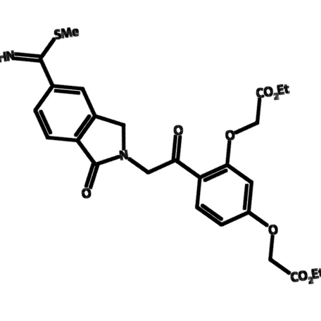 CCOC(=O)COc1ccc(C(=O)CN2Cc3cc(C(=N)SC)ccc3C2=O)c(OCC(=O)OCC)c1